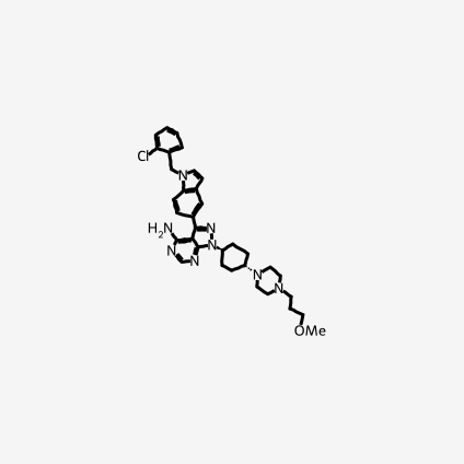 COCCCN1CCN([C@H]2CC[C@H](n3nc(-c4ccc5c(ccn5Cc5ccccc5Cl)c4)c4c(N)ncnc43)CC2)CC1